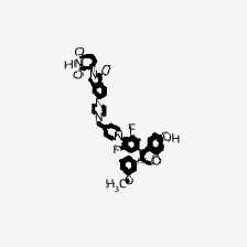 COc1cccc([C@H]2COc3cc(O)ccc3[C@H]2c2cc(F)c(N3CCC(CN4CCN(c5ccc6c(c5)CN([C@H]5CCC(=O)NC5=O)C6=O)CC4)CC3)c(F)c2)c1